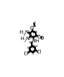 CCOC1=CC(=C=O)C(NCc2cc(Cl)cc(Cl)c2)C(N)=C1N